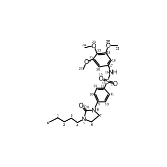 CCCCCN1CCN(c2ccc(S(=O)(=O)Nc3cc(OC)c(OC)c(OC)c3)cc2)C1=O